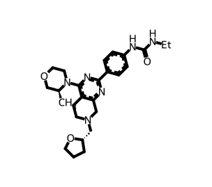 CCNC(=O)Nc1ccc(-c2nc3c(c(N4CCOC[C@@H]4C)n2)CCN(C[C@@H]2CCCO2)C3)cc1